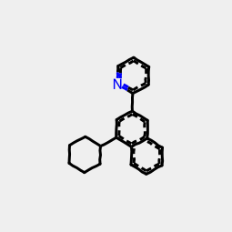 c1ccc(-c2cc(C3CCCCC3)c3ccccc3c2)nc1